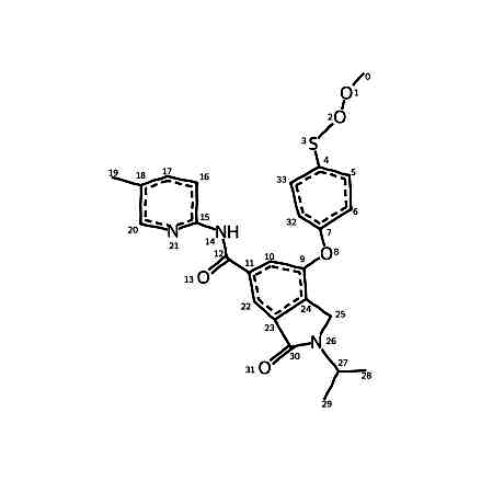 COOSc1ccc(Oc2cc(C(=O)Nc3ccc(C)cn3)cc3c2CN(C(C)C)C3=O)cc1